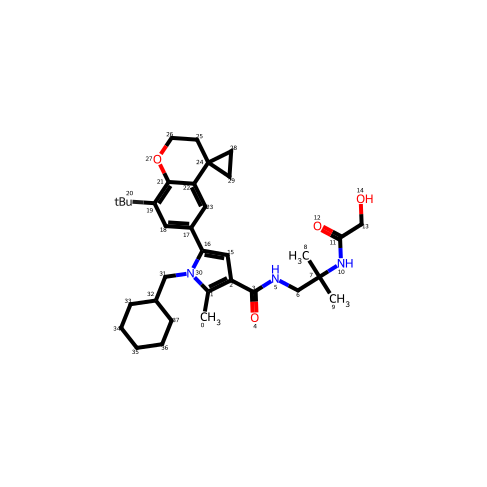 Cc1c(C(=O)NCC(C)(C)NC(=O)CO)cc(-c2cc(C(C)(C)C)c3c(c2)C2(CCO3)CC2)n1CC1CCCCC1